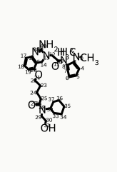 CN(C)c1ccccc1NC(=O)CN1Cc2c(cccc2OCCCCC(=O)N(CCO)C2CCCCC2)N=C1N